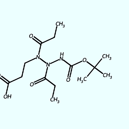 CCC(=O)N(CCC(=O)O)N(NC(=O)OC(C)(C)C)C(=O)CC